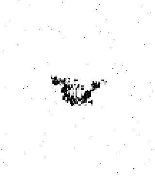 COc1nc(-c2ccnc(-c3cccc(NC(=O)c4nc5c(n4C)CCN(CCc4cnn(C(C)C)c4)C5)c3Cl)c2Cl)ccc1CN(C[C@@H]1CCC(=O)N1)C(=O)O